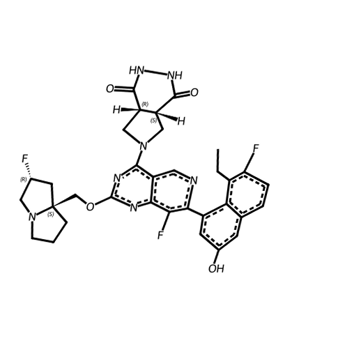 CCc1c(F)ccc2cc(O)cc(-c3ncc4c(N5C[C@@H]6C(=O)NNC(=O)[C@@H]6C5)nc(OC[C@@]56CCCN5C[C@H](F)C6)nc4c3F)c12